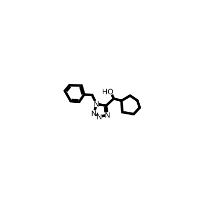 OC(c1nnnn1Cc1ccccc1)C1CCCCC1